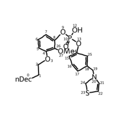 CCCCCCCCCCCCOc1cccc(OP(=O)(O)Oc2cccc(CN3C=CSC3)c2)c1OC